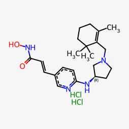 CC1=C(CN2CC[C@@H](Nc3ccc(C=CC(=O)NO)cn3)C2)C(C)(C)CCC1.Cl.Cl